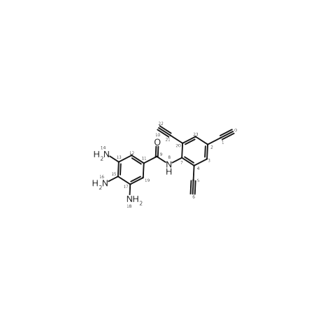 C#Cc1cc(C#C)c(NC(=O)c2cc(N)c(N)c(N)c2)c(C#C)c1